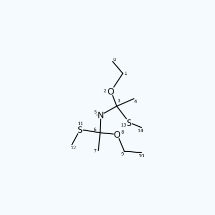 CCOC(C)([N]C(C)(OCC)SC)SC